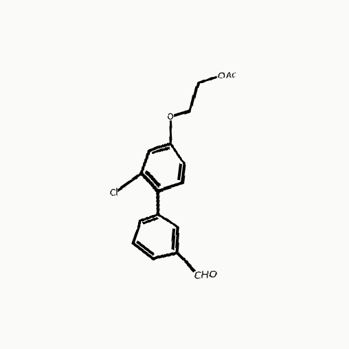 CC(=O)OCCOc1ccc(-c2cccc(C=O)c2)c(Cl)c1